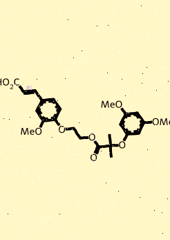 COc1cc(OC)cc(OC(C)(C)C(=O)OCCOc2ccc(/C=C/C(=O)O)cc2OC)c1